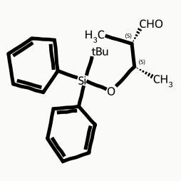 C[C@H](C=O)[C@H](C)O[Si](c1ccccc1)(c1ccccc1)C(C)(C)C